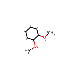 CO[C]1CCCCC1OC